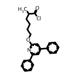 CC(CCCCOc1cc(-c2ccccc2)cc(-c2ccccc2)n1)C(=O)Cl